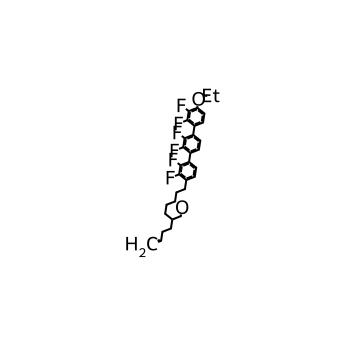 C=CCCC1CCC(CCc2ccc(-c3ccc(-c4ccc(OCC)c(F)c4F)c(F)c3F)c(F)c2F)OC1